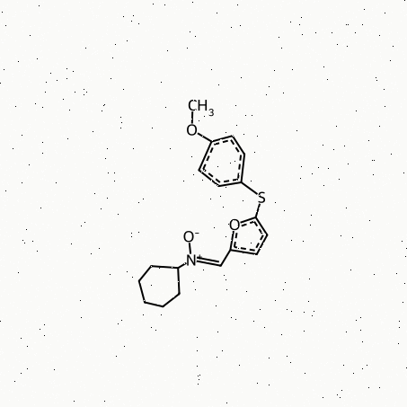 COc1ccc(Sc2ccc(C=[N+]([O-])C3CCCCC3)o2)cc1